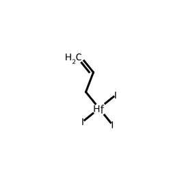 C=C[CH2][Hf]([I])([I])[I]